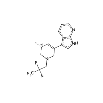 C[C@@H]1C=C(c2c[nH]c3ncccc23)CN(CC(F)(F)C(F)(F)F)C1